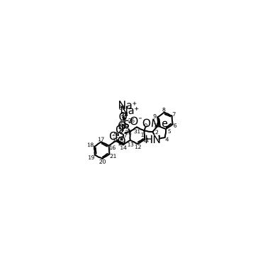 COC1(C2NCc3ccccc32)C=CC(C=Cc2ccccc2)C(S(=O)(=O)[O-])(S(=O)(=O)[O-])C1.[Na+].[Na+]